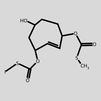 CSC(=O)OC1/C=C/C(OC(=O)SI)CC(O)CC1